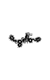 CC(C)(C)c1cc(NC(=O)Nc2ccc(OCCN3CCOCC3)c3ccccc23)n(-c2cccc(CCN3CCOCC3)c2)n1